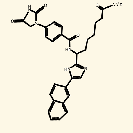 CNC(=O)CCCCCC(NC(=O)c1ccc(N2CC(=O)NC2=O)cc1)c1ncc(-c2ccc3ccccc3c2)[nH]1